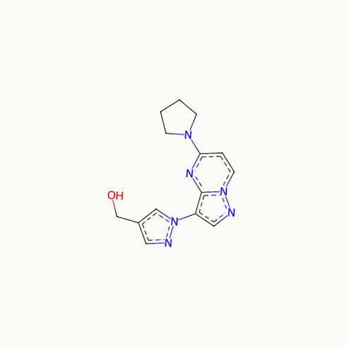 OCc1cnn(-c2cnn3ccc(N4CCCC4)nc23)c1